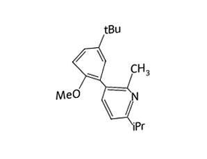 COc1ccc(C(C)(C)C)cc1-c1ccc(C(C)C)nc1C